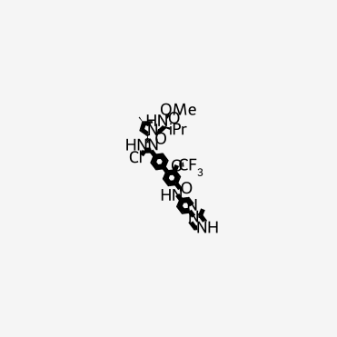 COC(=O)N[C@H](C(=O)N1C[C@@H](C)C[C@H]1c1nc(-c2ccc(-c3ccc(C(=O)Nc4ccc(N5CCNCC5C)nc4)cc3OC(F)(F)F)cc2)c(Cl)[nH]1)C(C)C